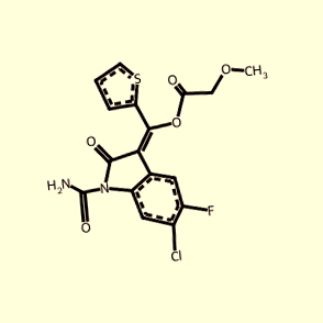 COCC(=O)OC(=C1C(=O)N(C(N)=O)c2cc(Cl)c(F)cc21)c1cccs1